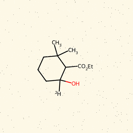 [2H]C1(O)CCCC(C)(C)C1C(=O)OCC